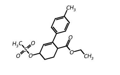 CCOC(=O)C1CCC(OS(C)(=O)=O)C=C1c1ccc(C)cc1